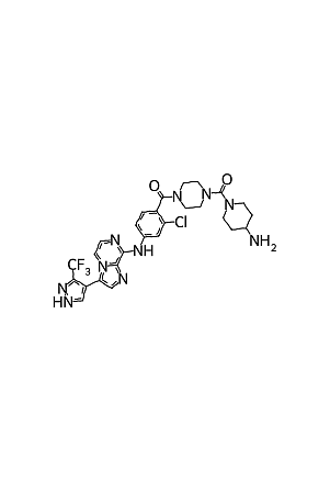 NC1CCN(C(=O)N2CCN(C(=O)c3ccc(Nc4nccn5c(-c6c[nH]nc6C(F)(F)F)cnc45)cc3Cl)CC2)CC1